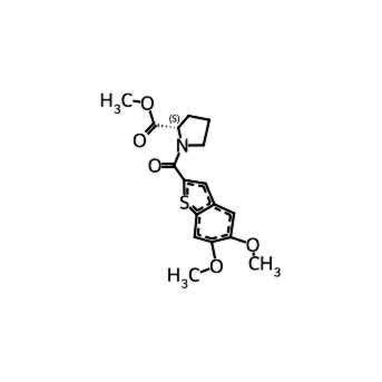 COC(=O)[C@@H]1CCCN1C(=O)c1cc2cc(OC)c(OC)cc2s1